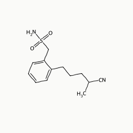 CC(C#N)CCCc1ccccc1CS(N)(=O)=O